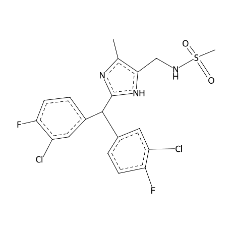 Cc1nc(C(c2ccc(F)c(Cl)c2)c2ccc(F)c(Cl)c2)[nH]c1CNS(C)(=O)=O